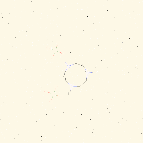 CCN1CCN(CC)CCN(CC)CC1.[Cu+2].[O-][Cl+3]([O-])([O-])[O-].[O-][Cl+3]([O-])([O-])[O-]